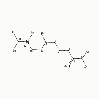 CC(C)C(=O)CCCC1CCN(C(C)C)CC1